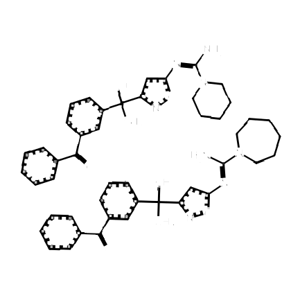 CC(C)(c1cccc(C(=O)c2ccccc2)c1)c1cc(N=C(N)N2CCCCC2)on1.CC(C)(c1cccc(C(=O)c2ccccc2)c1)c1cc(N=C(N)N2CCCCCC2)on1